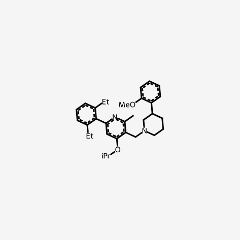 CCc1cccc(CC)c1-c1cc(OC(C)C)c(CN2CCCC(c3ccccc3OC)C2)c(C)n1